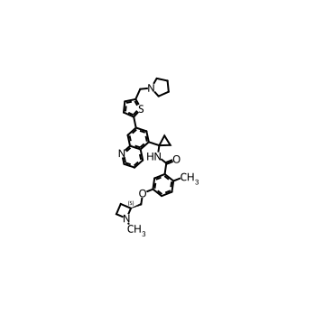 Cc1ccc(OC[C@@H]2CCN2C)cc1C(=O)NC1(c2cc(-c3ccc(CN4CCCC4)s3)cc3ncccc23)CC1